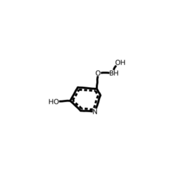 OBOc1cncc(O)c1